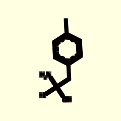 CCC(N)(O)Cc1ccc(C)cc1